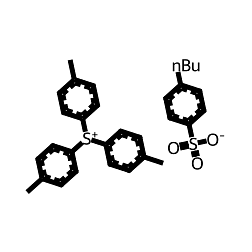 CCCCc1ccc(S(=O)(=O)[O-])cc1.Cc1ccc([S+](c2ccc(C)cc2)c2ccc(C)cc2)cc1